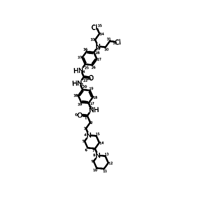 O=C(CCN1CCC(N2CCCCC2)CC1)Nc1ccc(NC(=O)Nc2ccc(N(CCCl)CCCl)cc2)cc1